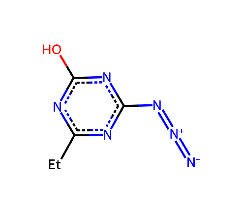 CCc1nc(O)nc(N=[N+]=[N-])n1